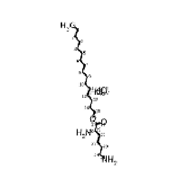 CCCCCCCCCCCCCCCCOC(=O)[C@@H](N)CCCCN.Cl.Cl